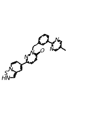 Cc1cnc(-c2cccc(Cn3nc(C4=CC5=CNSN5C=C4)ccc3=O)c2)nc1